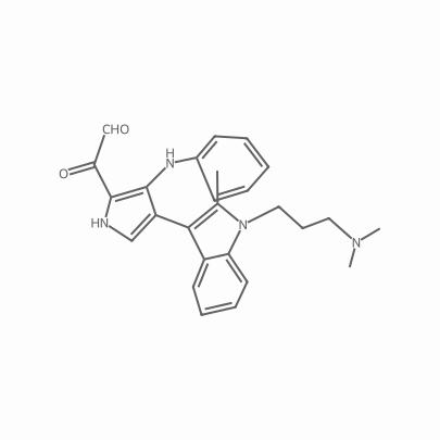 Cc1c(-c2c[nH]c(C(=O)C=O)c2Nc2ccccc2)c2ccccc2n1CCCN(C)C